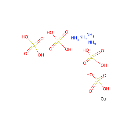 N.N.N.N.O=S(=O)(O)O.O=S(=O)(O)O.O=S(=O)(O)O.O=S(=O)(O)O.[Cu]